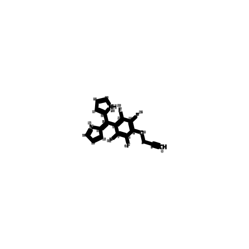 C#CCOc1c(F)c(F)c(/C(=C2\C=CC=N2)c2ccc[nH]2)c(F)c1F